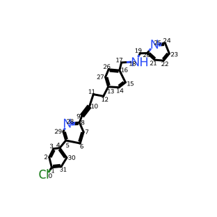 Clc1ccc(-c2ccc(C#CCCc3ccc(CNCc4ccccn4)cc3)nc2)cc1